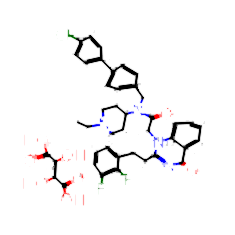 CCN1CCC(N(Cc2ccc(-c3ccc(Cl)cc3)cc2)C(=O)Cn2c(CCc3cccc(F)c3F)nc(=O)c3ccccc32)CC1.O=C(O)C(O)C(O)C(=O)O